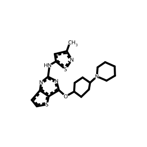 Cc1cc(Nc2nc(OC3CCC(N4CCCCC4)CC3)c3sccc3n2)sn1